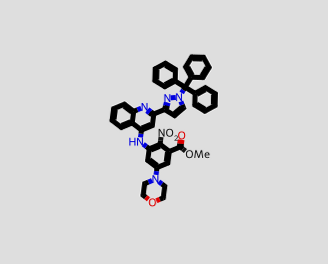 COC(=O)c1cc(N2CCOCC2)cc(Nc2cc(-c3ccn(C(c4ccccc4)(c4ccccc4)c4ccccc4)n3)nc3ccccc23)c1[N+](=O)[O-]